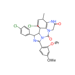 COc1ccc(C2=NC(c3ccc(Cl)cc3)C3N2C(=O)N2CC(=O)NC4=C2C3(C)C(Cl)=CC4C)c(OC(C)C)c1